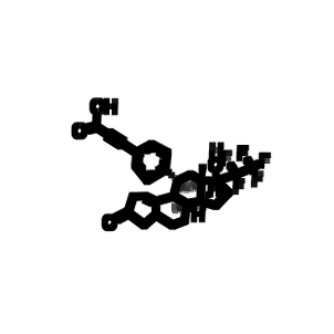 C[C@]12C[C@@H](c3ccc(C#CC(=O)O)cc3)C3C4=CCC(=O)CC4CC[C@H]3[C@@H]1CC[C@@]2(O)C(F)(F)C(F)(F)F